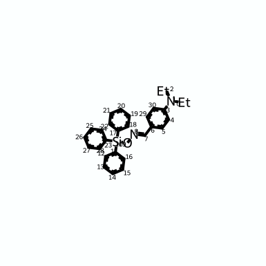 CCN(CC)c1ccc(C=NO[Si](c2ccccc2)(c2ccccc2)c2ccccc2)cc1